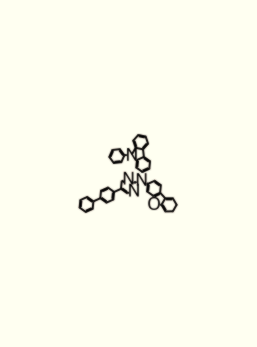 C1=c2oc3cc(N(c4ccc5c6ccccc6n(-c6ccccc6)c5c4)c4ncc(-c5ccc(-c6ccccc6)cc5)cn4)ccc3c2=CCC1